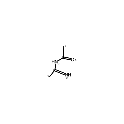 CC(=N)NC(C)=O